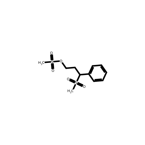 CS(=O)(=O)OCCC(c1ccccc1)S(C)(=O)=O